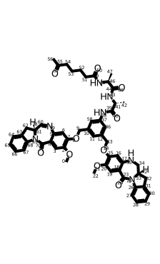 COc1cc2c(cc1OCc1cc(COc3cc4c(cc3OC)C(=O)N3c5ccccc5C[C@H]3CN4)cc(NC(=O)[C@@H](C)NC(=O)[C@H](C)NC(=O)CCCCC(C)=O)c1)N=C[C@@H]1Cc3ccccc3N1C2=O